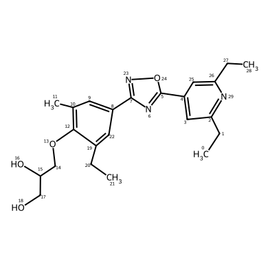 CCc1cc(-c2nc(-c3cc(C)c(OCC(O)CO)c(CC)c3)no2)cc(CC)n1